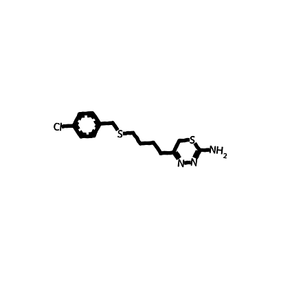 NC1=NN=C(CCCCSCc2ccc(Cl)cc2)CS1